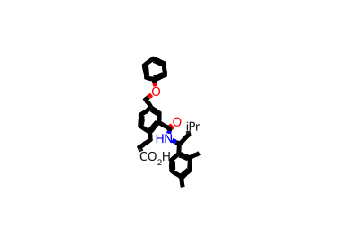 Cc1ccc(C(CC(C)C)NC(=O)c2cc(COc3ccccc3)ccc2CCC(=O)O)c(C)c1